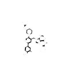 COc1ccc(-c2cc(Cn3cnc4c(N(C(=O)O)C(=O)OC(C)(C)C)ncnc43)c(N3CCC[C@@H](NC(=O)OC(C)(C)C)C3)cn2)cc1F